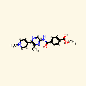 COC(=O)c1ccc(C(=O)Nc2cnc(C3=CCN(C)CC3)c(C)n2)cc1